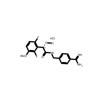 CCO[C@H](C(=O)NCc1ccc(C(=N)N)cc1)c1c(F)ccc(OC)c1F.Cl